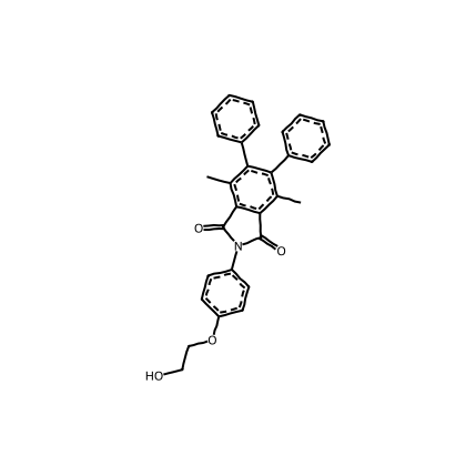 Cc1c2c(c(C)c(-c3ccccc3)c1-c1ccccc1)C(=O)N(c1ccc(OCCO)cc1)C2=O